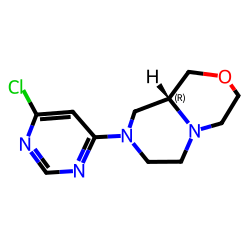 Clc1cc(N2CCN3CCOC[C@H]3C2)ncn1